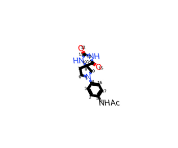 CC(=O)Nc1ccc(N2CCC3(C2)NC(=O)NC3=O)cc1